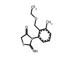 Cc1cccc(N2C(=N)SCC2=O)c1COCC(F)(F)F